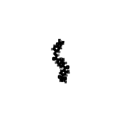 NS(=O)(=O)c1ccc(C(=O)N2CC3CN(C(=O)/C=C/c4ccc(OC(F)(F)F)cc4)CC3(F)C2)c(F)c1